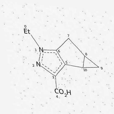 CCn1nc(C(=O)O)c2c1CC1CC21